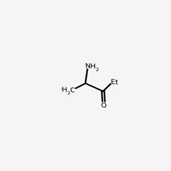 [CH2]C(N)C(=O)CC